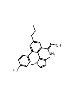 CCCc1cc(C(N)=NO)c(-c2c(C)ccn2C)c(-c2ccc(O)cc2)c1